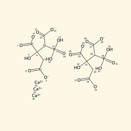 O=C([O-])CC(O)(C(=O)[O-])C(C(=O)[O-])P(=O)(O)O.O=C([O-])CC(O)(C(=O)[O-])C(C(=O)[O-])P(=O)(O)O.[Ca+2].[Ca+2].[Ca+2]